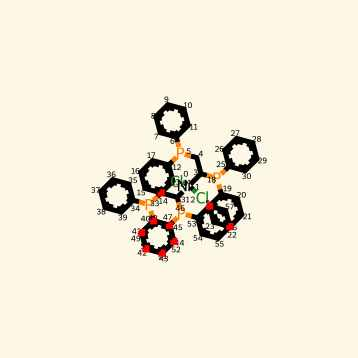 [Cl][Ni]([Cl])([CH](CP(c1ccccc1)c1ccccc1)P(c1ccccc1)c1ccccc1)[CH](CP(c1ccccc1)c1ccccc1)P(c1ccccc1)c1ccccc1